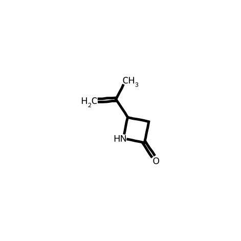 C=C(C)C1CC(=O)N1